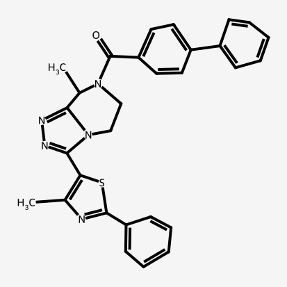 Cc1nc(-c2ccccc2)sc1-c1nnc2n1CCN(C(=O)c1ccc(-c3ccccc3)cc1)C2C